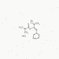 CN(C)C(=S)S/C(=N\c1ccccc1)N(C)C.Cl